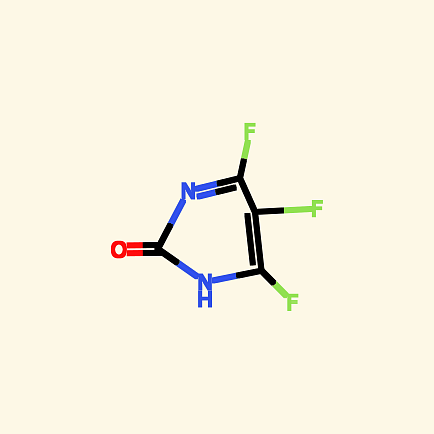 O=c1nc(F)c(F)c(F)[nH]1